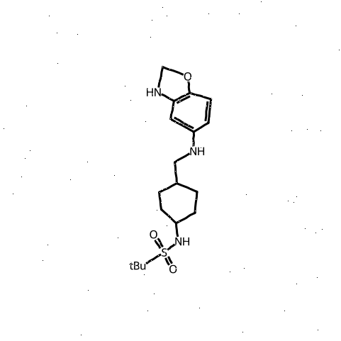 CC(C)(C)S(=O)(=O)NC1CCC(CNc2ccc3c(c2)NCO3)CC1